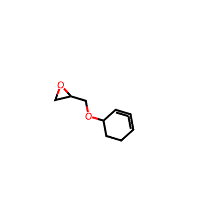 C1=CCCC(OCC2CO2)C=1